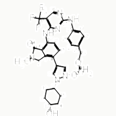 CN1Cc2c(-c3cnn([C@H]4CC[C@H](O)CC4)c3)ccc(Nc3nc(Nc4ccc(CO[PH2]=O)cc4)ncc3C(F)(F)F)c2C1=O